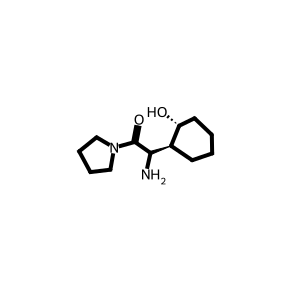 NC(C(=O)N1CCCC1)[C@@H]1CCCC[C@H]1O